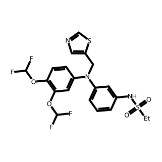 CCS(=O)(=O)Nc1cccc(N(Cc2cncs2)c2ccc(OC(F)F)c(OC(F)F)c2)c1